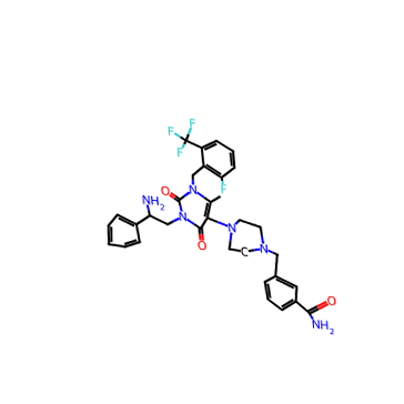 Cc1c(N2CCN(Cc3cccc(C(N)=O)c3)CC2)c(=O)n(CC(N)c2ccccc2)c(=O)n1Cc1c(F)cccc1C(F)(F)F